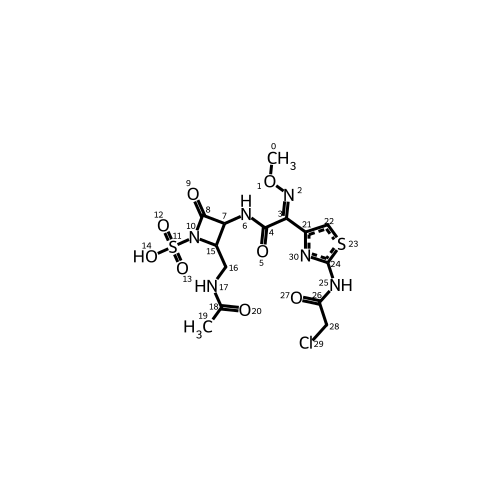 CO/N=C(\C(=O)NC1C(=O)N(S(=O)(=O)O)C1CNC(C)=O)c1csc(NC(=O)CCl)n1